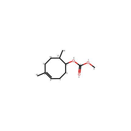 COC(=O)OC1CC/C=C(/C)CCC1C